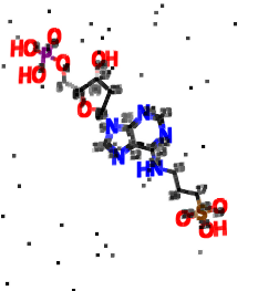 O=P(O)(O)OC[C@H]1O[C@@H](n2cnc3c(NCCCS(=O)(=O)O)ncnc32)C[C@H]1O